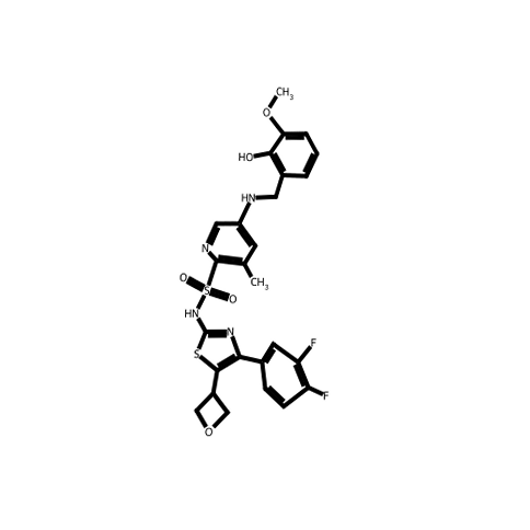 COc1cccc(CNc2cnc(S(=O)(=O)Nc3nc(-c4ccc(F)c(F)c4)c(C4COC4)s3)c(C)c2)c1O